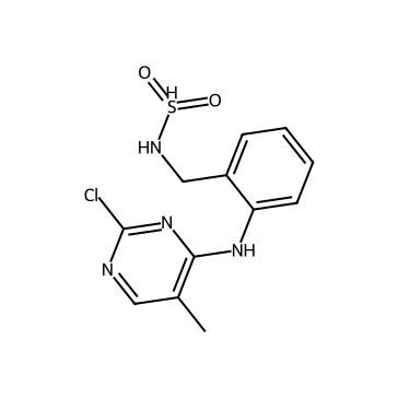 Cc1cnc(Cl)nc1Nc1ccccc1CN[SH](=O)=O